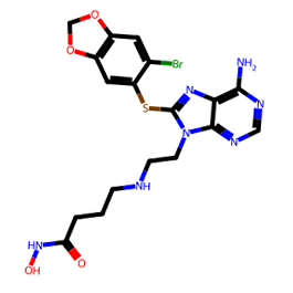 Nc1ncnc2c1nc(Sc1cc3c(cc1Br)OCO3)n2CCNCCCC(=O)NO